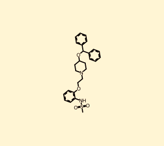 CS(=O)(=O)Nc1ccccc1OCCN1CCC(OC(c2ccccc2)c2ccccc2)CC1